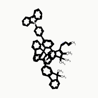 C=C/C=C\C1=C(C)C(C)(C)c2cc(N(c3ccc4c(c3)C(C)(C)c3ccccc3-4)c3cccc4c3C3(c5ccccc5Sc5ccc(-c6ccc(-n7c8ccccc8c8ccccc87)cc6)cc53)c3ccccc3-4)ccc21